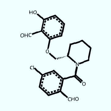 O=Cc1ccc(Cl)cc1C(=O)N1CCCC[C@H]1COc1cccc(O)c1C=O